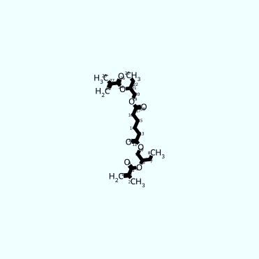 C=C(C)C(=O)OC(CC)COC(=O)CCCCC(=O)OCC(CC)OC(=O)C(=C)C